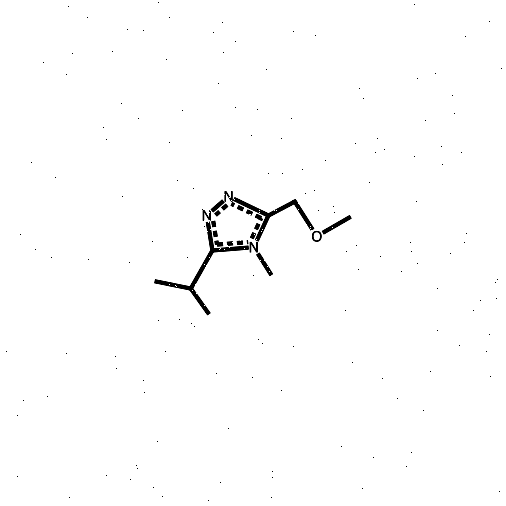 COCc1nnc(C(C)C)n1C